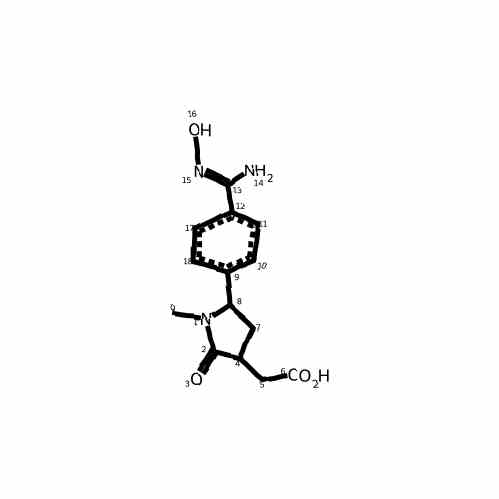 CN1C(=O)C(CC(=O)O)CC1c1ccc(C(N)=NO)cc1